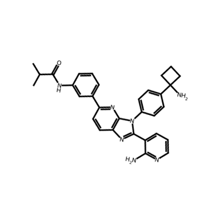 C[C](C)C(=O)Nc1cccc(-c2ccc3nc(-c4cccnc4N)n(-c4ccc(C5(N)CCC5)cc4)c3n2)c1